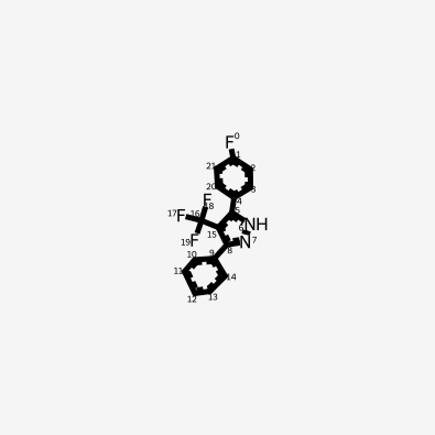 Fc1ccc(-c2[nH]nc(-c3ccccc3)c2C(F)(F)F)cc1